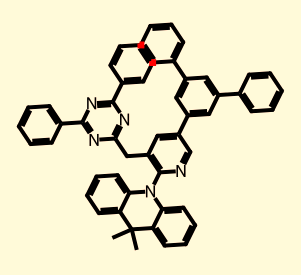 CC1(C)c2ccccc2N(c2ncc(-c3cc(-c4ccccc4)cc(-c4ccccc4)c3)cc2Cc2nc(-c3ccccc3)nc(-c3ccccc3)n2)c2ccccc21